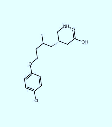 CC(CCOc1ccc(Cl)cc1)C[C@H](CN)CC(=O)O